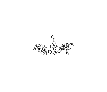 COC(=O)N[C@H](C(=O)N1CCC[C@H]1c1nc2cc([C@H]3CC[C@H](c4ccc5[nH]c([C@@H]6CCCN6C(=O)[C@@H](NC(=O)OC)C(C)C)nc5c4)N3c3cc(F)c(N4CCC(c5ccccc5)CC4)c(F)c3)ccc2[nH]1)C(C)C